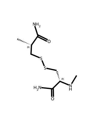 CN[C@@H](CSSC[C@H](C)C(N)=O)C(N)=O